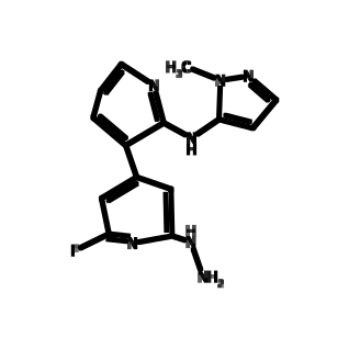 Cn1nccc1Nc1ncccc1-c1cc(F)nc(NN)c1